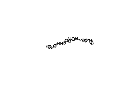 c1cc(CN2CCOCC2)ccc1CNCCCOc1ccc(-c2nc3ccc(OCCCNCc4ccc(CN5CCOCC5)cc4)cc3o2)cc1